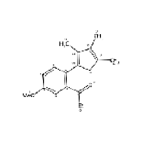 CCC(=O)c1cc(OC)ccc1C1=C(C)C(C)=C(C)C1